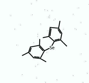 Cc1cc(C)c([Se]c2c(C)cc(C)cc2C)c(C)c1